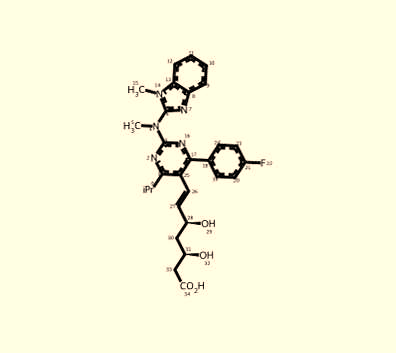 CC(C)c1nc(N(C)c2nc3ccccc3n2C)nc(-c2ccc(F)cc2)c1/C=C/[C@@H](O)C[C@@H](O)CC(=O)O